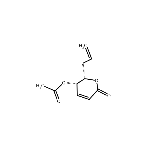 C=CC[C@@H]1OC(=O)C=C[C@@H]1OC(C)=O